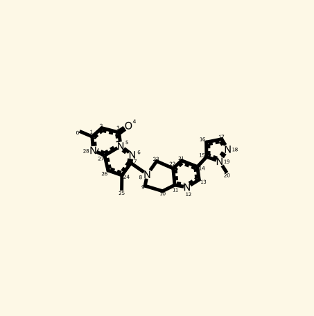 Cc1cc(=O)n2nc(N3CCc4ncc(-c5ccnn5C)cc4C3)c(C)cc2n1